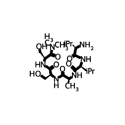 CC(C)[C@H](N)C(=O)N[C@H](C(=O)N[C@@H](C)C(=O)N[C@@H](CO)C(=O)N[C@@H](CO)C(=O)N(C)C)C(C)C